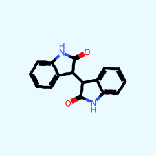 O=C1Nc2ccccc2C1C1C(=O)Nc2ccccc21